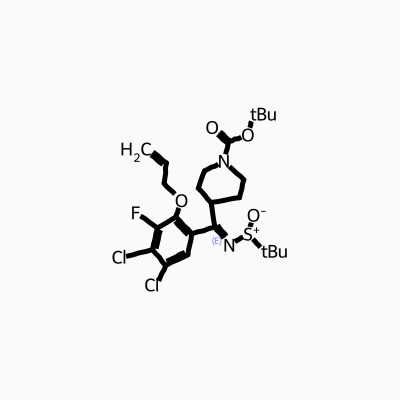 C=CCOc1c(/C(=N/[S+]([O-])C(C)(C)C)C2CCN(C(=O)OC(C)(C)C)CC2)cc(Cl)c(Cl)c1F